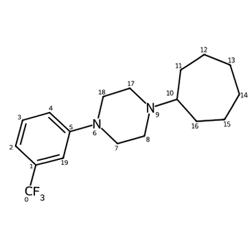 FC(F)(F)c1cccc(N2CCN(C3CCCCCC3)CC2)c1